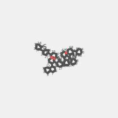 c1ccc(-c2cccc3ccccc23)c(-c2ccccc2N(c2ccc(-c3ccc4c(c3)sc3ccccc34)cc2)c2cccc3c2-c2ccccc2C32c3ccccc3-n3c4ccccc4c4cccc2c43)c1